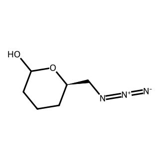 [N-]=[N+]=NC[C@H]1CCCC(O)O1